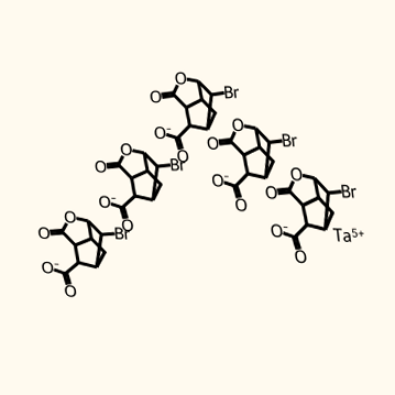 O=C([O-])C1C2CC3C(OC(=O)C31)C2Br.O=C([O-])C1C2CC3C(OC(=O)C31)C2Br.O=C([O-])C1C2CC3C(OC(=O)C31)C2Br.O=C([O-])C1C2CC3C(OC(=O)C31)C2Br.O=C([O-])C1C2CC3C(OC(=O)C31)C2Br.[Ta+5]